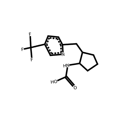 O=C(O)NC1CCCC1Cc1ccc(C(F)(F)F)cn1